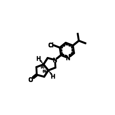 CC(C)c1cnc(N2C[C@H]3CC(=O)C[C@H]3C2)c(Cl)c1